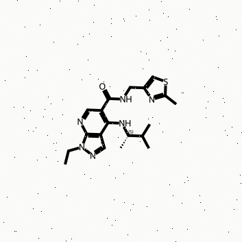 CCn1ncc2c(N[C@@H](C)C(C)C)c(C(=O)NCc3csc(C)n3)cnc21